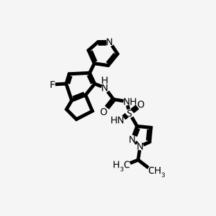 CC(C)n1ccc(S(=N)(=O)NC(=O)Nc2c(-c3ccncc3)cc(F)c3c2CCC3)n1